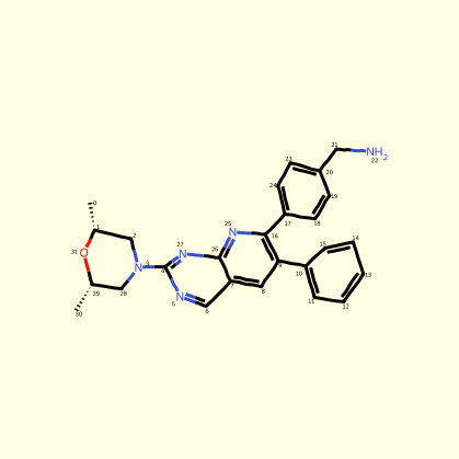 C[C@@H]1CN(c2ncc3cc(-c4ccccc4)c(-c4ccc(CN)cc4)nc3n2)C[C@H](C)O1